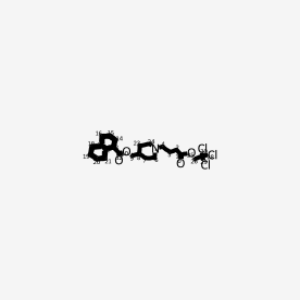 O=C(CCCN1CCC(COC(=O)c2cccc3ccccc23)CC1)OCC(Cl)(Cl)Cl